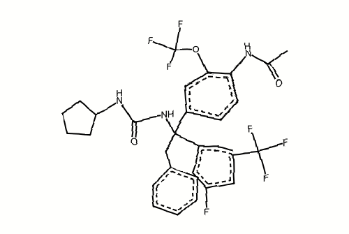 CC(=O)Nc1ccc(C(Cc2ccccc2)(NC(=O)NC2CCCC2)c2cc(F)cc(C(F)(F)F)c2)cc1OC(F)(F)F